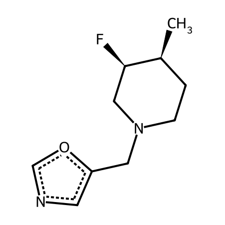 C[C@H]1CCN(Cc2cnco2)C[C@H]1F